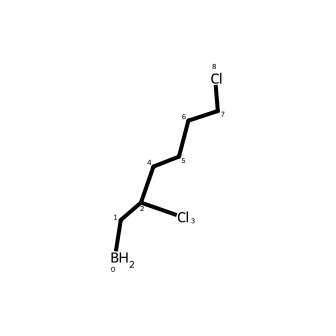 BCC(Cl)CCCCCl